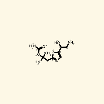 CC(C)(Cc1ncc(C(O)CN)s1)OC(N)=O